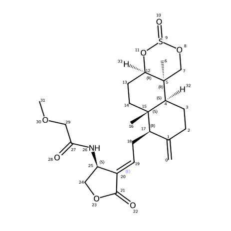 C=C1CC[C@@H]2[C@]3(C)COS(=O)O[C@@H]3CC[C@@]2(C)[C@@H]1C/C=C1/C(=O)OC[C@H]1NC(=O)COC